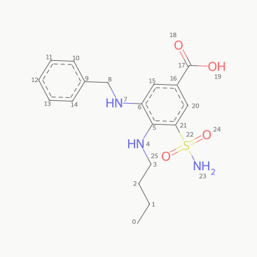 CCCCNc1c(NCc2ccccc2)cc(C(=O)O)cc1S(N)(=O)=O